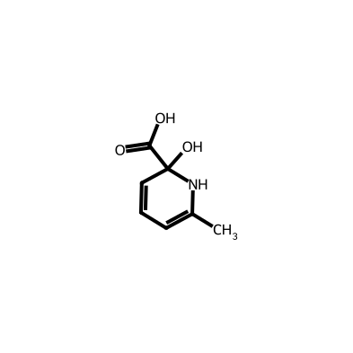 CC1=CC=CC(O)(C(=O)O)N1